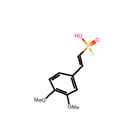 COc1ccc(/C=C/P(=O)(O)F)cc1OC